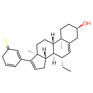 CC[C@H]1C=C2C[C@H](O)CC[C@]2(C)[C@H]2CC[C@]3(C)C(C4=CC(=S)CC=C4)=CC[C@H]3[C@H]12